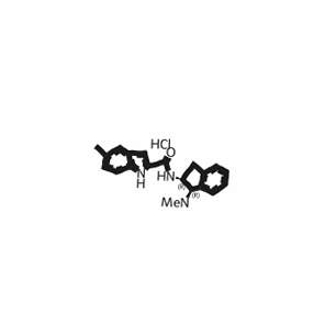 CN[C@@H]1c2ccccc2C[C@H]1NC(=O)c1cc2cc(C)ccc2[nH]1.Cl